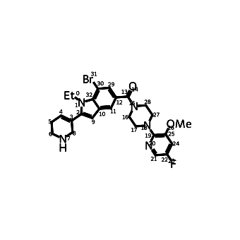 CCn1c(C2=CCCNC2)cc2cc(C(=O)N3CCN(c4ncc(F)cc4OC)CC3)cc(Br)c21